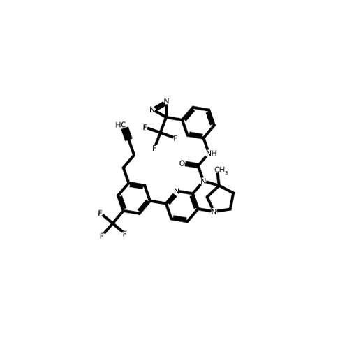 C#CCCc1cc(-c2ccc3c(n2)N(C(=O)Nc2cccc(C4(C(F)(F)F)N=N4)c2)C2(C)CCN3C2)cc(C(F)(F)F)c1